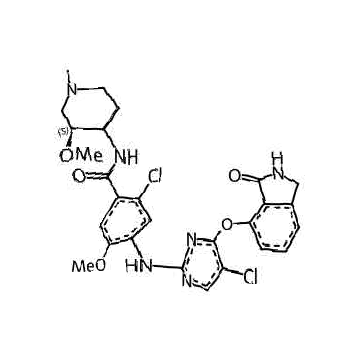 COc1cc(C(=O)NC2CCN(C)C[C@@H]2OC)c(Cl)cc1Nc1ncc(Cl)c(Oc2cccc3c2C(=O)NC3)n1